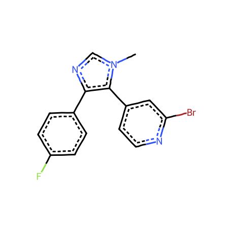 Cn1cnc(-c2ccc(F)cc2)c1-c1ccnc(Br)c1